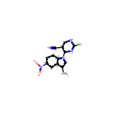 Cc1cn(-c2nc(Cl)ncc2C#N)c2ccc([N+](=O)[O-])cc12